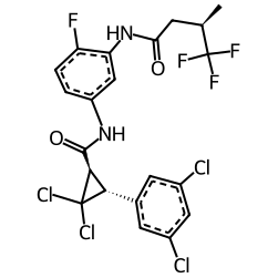 C[C@H](CC(=O)Nc1cc(NC(=O)[C@H]2[C@H](c3cc(Cl)cc(Cl)c3)C2(Cl)Cl)ccc1F)C(F)(F)F